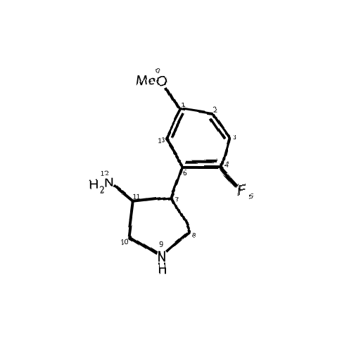 COc1ccc(F)c(C2CNCC2N)c1